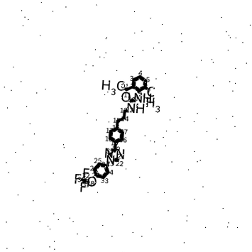 CCc1cccc(C)c1NC(=O)NCCCc1ccc(-c2ncn(-c3ccc(OC(F)(F)F)cc3)n2)cc1